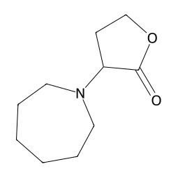 O=C1OCCC1N1CCCCCC1